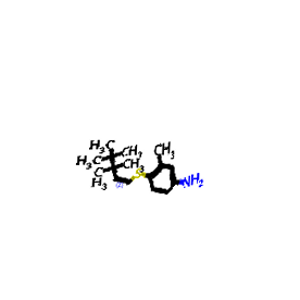 Cc1cc(N)ccc1S/C=C\C(C)(C)C(C)(C)C